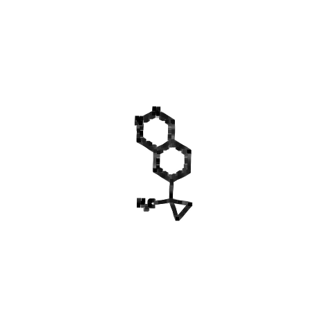 CC1(c2ccc3cnncc3c2)CC1